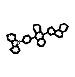 C1=Cc2ccc3cc(-c4c5c(c(-c6ccc(-n7c8ccccc8c8ccccc87)cc6)c6ccccc46)=CCCC=5)ccc3c2CC1